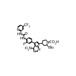 CC(C)(C)C1CC(c2cc(-c3ccc(NC(=O)Nc4cc(C(F)(F)F)ccn4)c(F)c3)c3c(N)ncnn23)CCN1C(=O)O